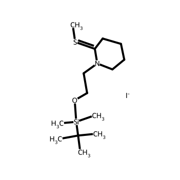 C[S+]=C1CCCCN1CCO[Si](C)(C)C(C)(C)C.[I-]